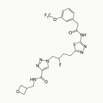 O=C(Cc1cccc(OC(F)(F)F)c1)Nc1nnc(CCC(F)Cn2cc(C(=O)NCC3COC3)nn2)s1